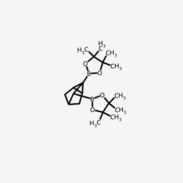 CC1(C)OB(C2C3CC4C(C3)C42B2OC(C)(C)C(C)(C)O2)OC1(C)C